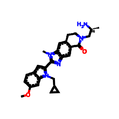 COc1ccc2cc(-c3nc4cc5c(cc4n3C)CCN(C[C@@H](C)N)C5=O)n(CC3CC3)c2c1